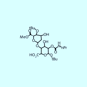 CCCNC(=O)OC1C(OC(C)(C)C)OC(C(=O)O)C(OC2CC(O)C(OC(C)(C)C)[C@H](C(=O)OC)O2)C1O